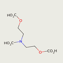 O=C(O)OCCN(CCOC(=O)O)C(=O)O